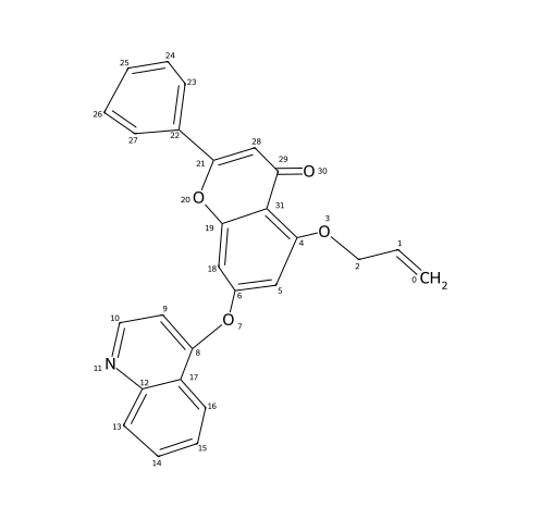 C=CCOc1cc(Oc2ccnc3ccccc23)cc2oc(-c3ccccc3)cc(=O)c12